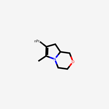 CCCC1=C(C)N2CCOCC2C1